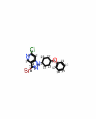 Clc1cc2c(cn1)c(Br)nn2[C@H]1CC[C@H](Oc2ccccc2)CC1